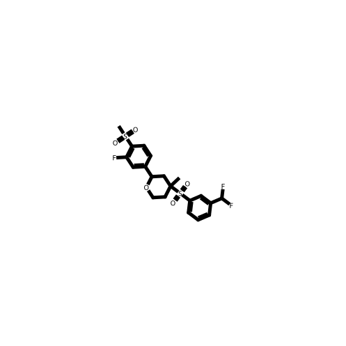 CC1(S(=O)(=O)c2cccc(C(F)F)c2)CCOC(c2ccc(S(C)(=O)=O)c(F)c2)C1